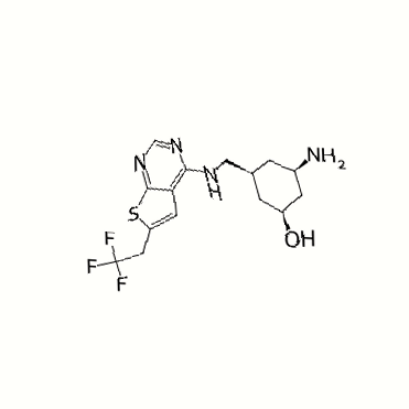 N[C@H]1C[C@@H](O)C[C@@H](CNc2ncnc3sc(CC(F)(F)F)cc23)C1